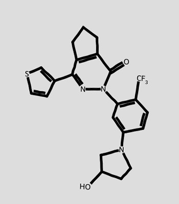 O=c1c2c(c(-c3ccsc3)nn1-c1cc(N3CCC(O)C3)ccc1C(F)(F)F)CCC2